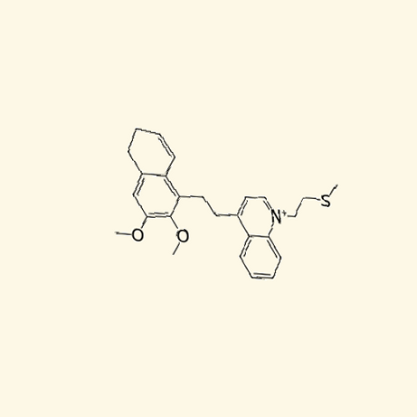 COc1cc2c(c(CCc3cc[n+](CCSC)c4ccccc34)c1OC)C=CCC2